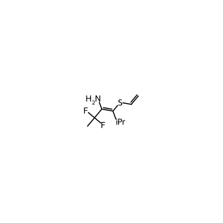 C=CS/C(=C(\N)C(C)(F)F)C(C)C